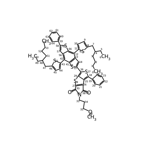 CCCCC(CC)Cc1ccc(-c2c3cc(-c4sc(-c5ccccc5)c5c6c(sc45)C(=O)N(CCCOC)C6=O)sc3c(-c3ccc(CC(CC)CCCC)s3)c3cc(-c4ccccc4)sc23)s1